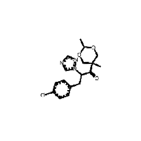 CC1OCC(C)(C(=O)C(Cc2ccc(Cl)cc2)n2cncn2)CO1